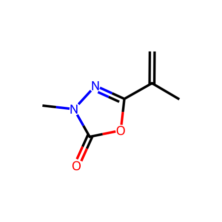 C=C(C)c1nn(C)c(=O)o1